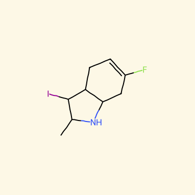 CC1NC2CC(F)=CCC2C1I